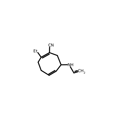 C=CNC1C=CCC/C(CC)=C(/C#N)C1